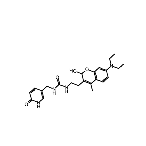 CCN(CC)c1ccc2c(c1)OC(O)C(CCNC(=O)NCc1ccc(=O)[nH]c1)=C2C